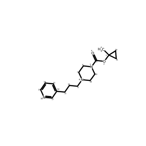 CC1(OC(=O)N2CCN(CCCc3cccnc3)CC2)CC1